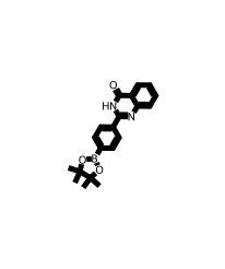 CC1(C)OB(c2ccc(-c3nc4ccccc4c(=O)[nH]3)cc2)OC1(C)C